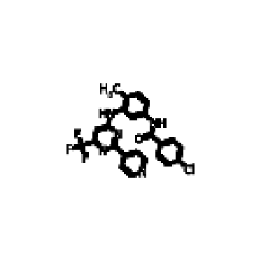 Cc1ccc(NC(=O)c2ccc(Cl)cc2)cc1Nc1cc(C(F)(F)F)nc(-c2ccncc2)n1